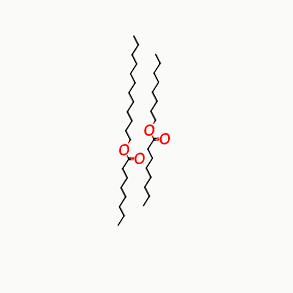 CCCCCCCCCCCCOC(=O)CCCCCCC.CCCCCCCCOC(=O)CCCCCCC